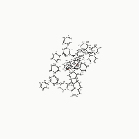 c1ccc(-c2cc(-c3cccc(-c4ccc(-c5nc(-c6ccccc6)nc(-c6cccc(-n7c8ccc9c(c8c8ccc%10ccccc%10c87)Sc7ccccc7C97c8ccccc8-c8ccccc87)c6)n5)cc4)c3)nc(-n3c4ccc5c(c4c4ccc6ccccc6c43)Sc3ccccc3C53c4ccccc4-c4ccccc43)c2)cc1